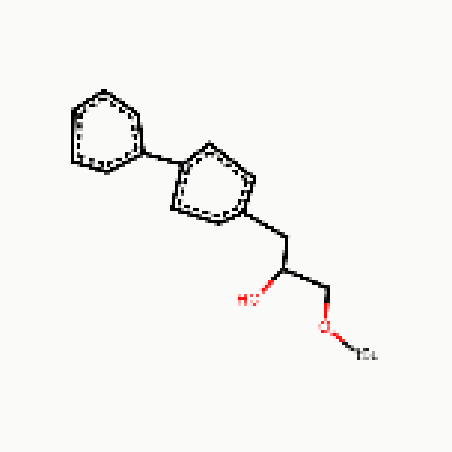 CC(C)(C)OCC(O)Cc1ccc(-c2ccccc2)cc1